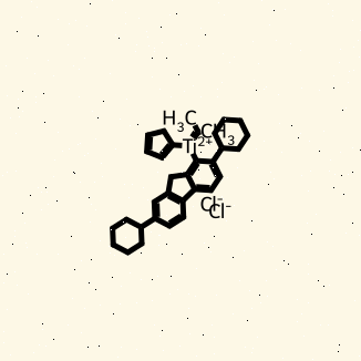 C[C](C)=[Ti+2]([C]1=CC=CC1)[c]1c(C2CCCCC2)ccc2c1Cc1cc(C3CCCCC3)ccc1-2.[Cl-].[Cl-]